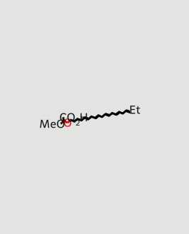 CCC=CCC=CCC=CCC=CCC=CCCCCOC(OC)C(=O)O